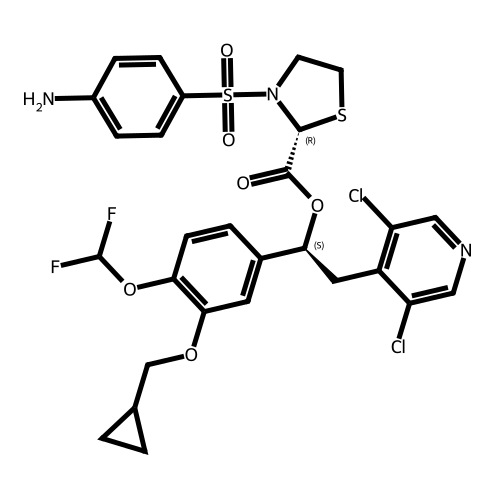 Nc1ccc(S(=O)(=O)N2CCS[C@@H]2C(=O)O[C@@H](Cc2c(Cl)cncc2Cl)c2ccc(OC(F)F)c(OCC3CC3)c2)cc1